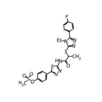 CCn1c(SC(C)C(=O)Nc2nnc(-c3ccc(OS(C)(=O)=O)cc3)s2)nnc1-c1ccc(F)cc1